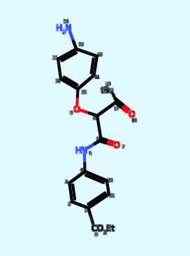 CCOC(=O)c1ccc(NC(=O)C(Oc2ccc(N)cc2)C(=O)C(C)(C)C)cc1